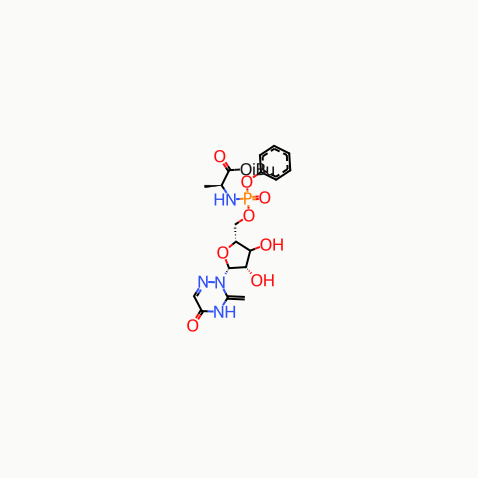 C=C1NC(=O)C=NN1[C@@H]1O[C@H](COP(=O)(N[C@@H](C)C(=O)OCC(C)C)Oc2ccccc2)C(O)[C@@H]1O